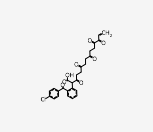 C=CC(=O)C(=O)CCC(=O)CCC(=O)CCC(=O)C(C(=O)O)c1ccccc1C(=O)c1ccc(Cl)cc1